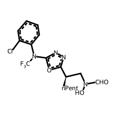 CCCCC[C@H](CN(O)C=O)c1nnc(N(c2ccccc2Cl)C(F)(F)F)o1